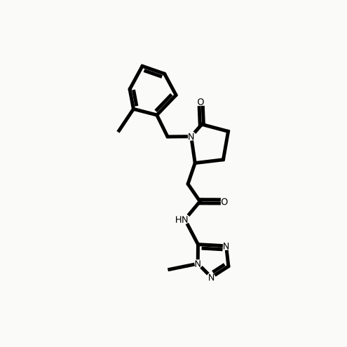 Cc1ccccc1CN1C(=O)CCC1CC(=O)Nc1ncnn1C